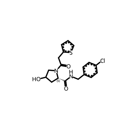 O=C(NCc1ccc(Cl)cc1)[C@@H]1CC(O)CN1C(=O)Cc1cccs1